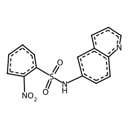 O=[N+]([O-])c1ccccc1S(=O)(=O)Nc1ccc2ncccc2c1